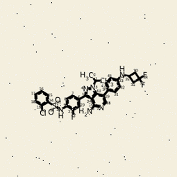 CC(C)n1nc(-c2ccc(NS(=O)(=O)c3ccccc3Cl)c(F)c2)c2c(N)ncc(-c3ccc(NC4CC(F)(F)C4)cc3)c21